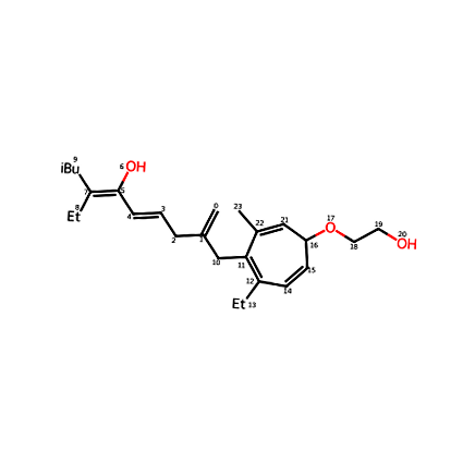 C=C(C/C=C/C(O)=C(\CC)C(C)CC)CC1=C(CC)C=CC(OCCO)C=C1C